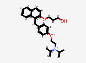 CC(C)N(CCOc1ccc(Cc2c(OCCCO)ccc3ccccc23)cc1)C(C)C